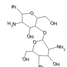 CC(C)C1OC(CO)C(OC2OC(CO)C(C(C)C)C(O)C2N)C(O)C1N